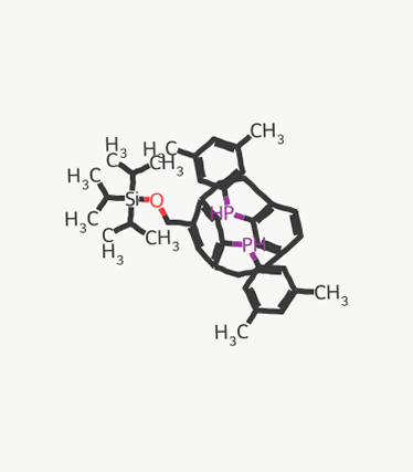 Cc1cc(C)cc(Pc2cc3c(CO[Si](C(C)C)(C(C)C)C(C)C)cc2CCc2ccc(c(Pc4cc(C)cc(C)c4)c2)CC3)c1